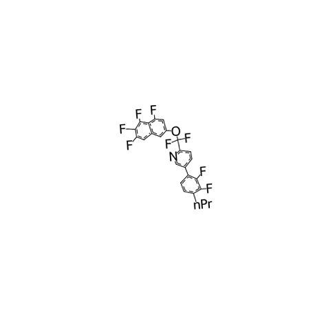 CCCc1ccc(-c2ccc(C(F)(F)Oc3cc(F)c4c(F)c(F)c(F)cc4c3)nc2)c(F)c1F